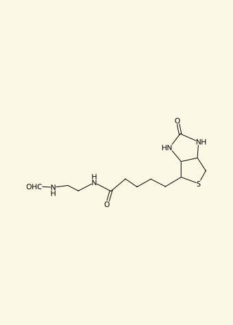 O=CNCCNC(=O)CCCCC1SCC2NC(=O)NC21